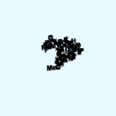 C=CC1C[C@]1(NC(=O)[C@@H]1C[C@@H](Oc2cc(-c3ccccn3)nc3cc(OC)ccc23)CN1C(=O)[C@@H](CC(=O)N1CCC(F)(F)CC1)C(C)(C)C)C(=O)NS(=O)(=O)C1CC1